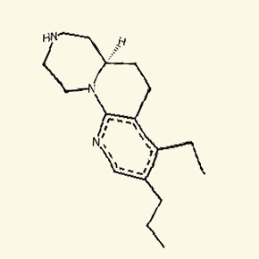 CCCc1cnc2c(c1CC)CC[C@@H]1CNCCN21